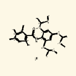 COC(C)Oc1cc(OC(C)OC)c(PC(=O)c2c(C)cc(C)c(C)c2C)c(OC(C)OC)c1.[LiH]